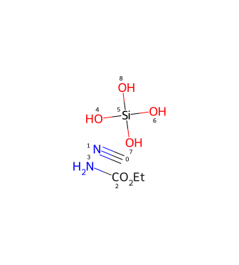 C#N.CCOC(N)=O.O[Si](O)(O)O